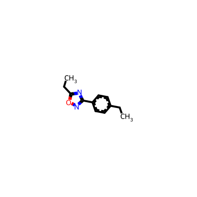 CCc1ccc(-c2noc(CC)n2)cc1